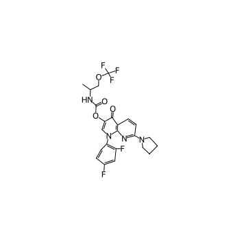 CC(COC(F)(F)F)NC(=O)Oc1cn(-c2ccc(F)cc2F)c2nc(N3CCCC3)ccc2c1=O